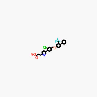 O=C(O)CCc1ccc(-c2ccc(COc3ccc(-c4ccccc4)c(C(F)(F)F)c3)cc2Cl)cn1